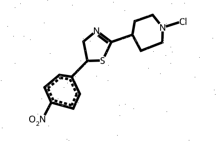 O=[N+]([O-])c1ccc(C2CN=C(C3CCN(Cl)CC3)S2)cc1